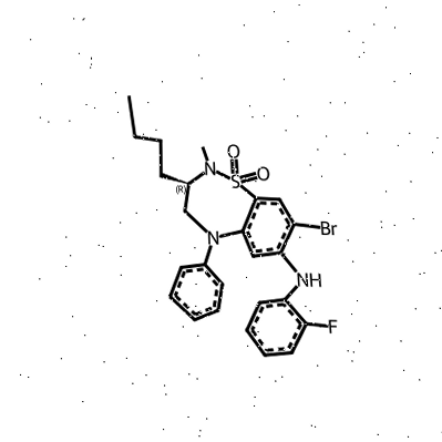 CCCC[C@@H]1CN(c2ccccc2)c2cc(Nc3ccccc3F)c(Br)cc2S(=O)(=O)N1C